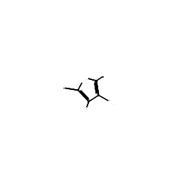 O=S(=O)(O)c1c(F)sc(Cl)c1F